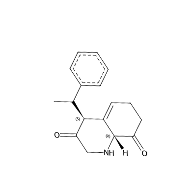 CC(c1ccccc1)[C@@H]1C(=O)CN[C@H]2C(=O)CCC=C21